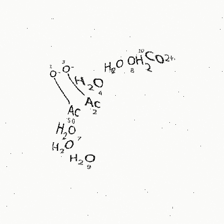 CC(=O)[O-].CC(=O)[O-].O.O.O.O.O.O.[Co+2]